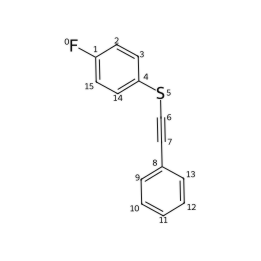 Fc1ccc(SC#Cc2ccccc2)cc1